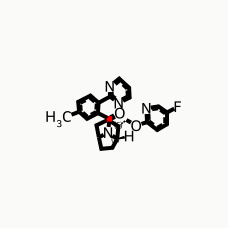 Cc1ccc(-c2ncccn2)c(C(=O)N2C3CC[C@H](COc4ccc(F)cn4)[C@@H]2CC3)c1